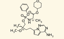 CO[C@@](C)(CCc1ccc2c(N)ncnn12)COP(=O)(N[C@@H](C)C(=O)OC1CCOCC1)Oc1ccccc1